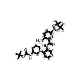 CC(C)(C)OC(=O)NC1CCCN(c2ccncc2NC(=O)c2nc(B3OC(C)(C)C(C)(C)O3)ccc2N)C1